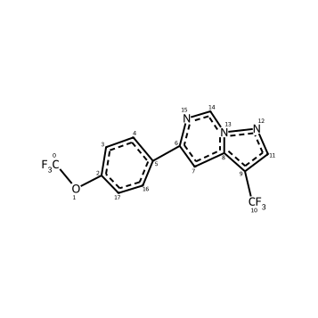 FC(F)(F)Oc1ccc(-c2cc3c(C(F)(F)F)cnn3cn2)cc1